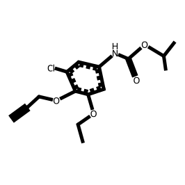 C#CCOc1c(Cl)cc(NC(=O)OC(C)C)cc1OCC